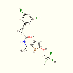 CC(NC(=O)[C@@H]1C[C@H]1c1cc(F)cc(F)c1)c1ccc(OCC(F)(F)F)s1